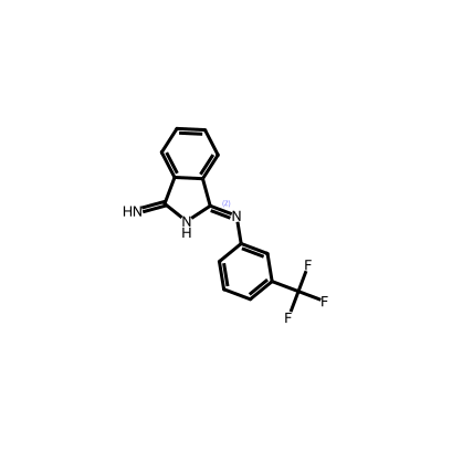 N=C1N/C(=N\c2cccc(C(F)(F)F)c2)c2ccccc21